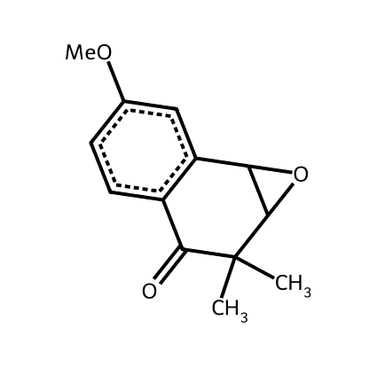 COc1ccc2c(c1)C1OC1C(C)(C)C2=O